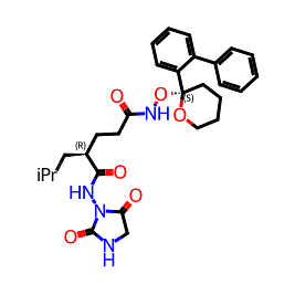 CC(C)C[C@@H](CCC(=O)NO[C@]1(c2ccccc2-c2ccccc2)CCCCO1)C(=O)NN1C(=O)CNC1=O